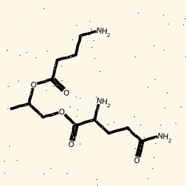 [CH2]C(COC(=O)C(N)CCC(N)=O)OC(=O)CCCN